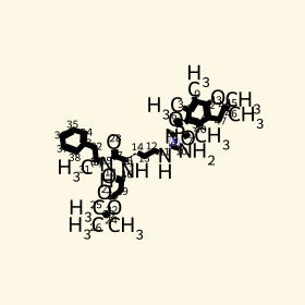 Cc1c(C)c(S(=O)(=O)/N=C(\N)NCCC[C@H](NC(=O)CC(=O)OC(C)(C)C)C(=O)N[C@@H](C)Cc2ccccc2)c(C)c2c1OC(C)(C)C2